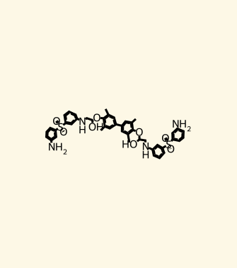 Cc1cc(-c2cc(C)c(OC(O)CNc3cccc(S(=O)(=O)c4cccc(N)c4)c3)c(C)c2)cc(C)c1OC(O)CNc1cccc(S(=O)(=O)c2cccc(N)c2)c1